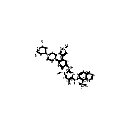 COc1nc(N2CCN(C3C[C@@H](C)O[C@@H](C)C3)CC2)c(-c2cnn(C)c2)cc1Nc1ncc(Br)c(Nc2ccc3nccnc3c2P(C)(C)=O)n1